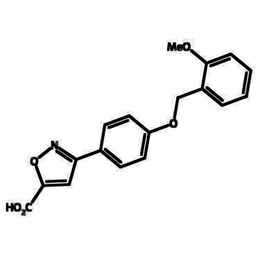 COc1ccccc1COc1ccc(-c2cc(C(=O)O)on2)cc1